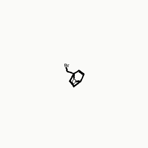 BrCC12C=CC(CC1)O2